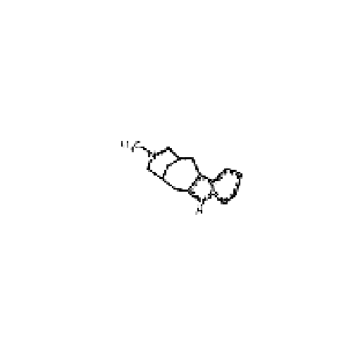 CN1CC2Cc3[nH]c4ccccc4c3CC(C2)C1